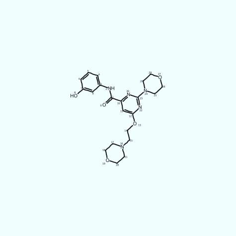 O=C(Nc1cccc(O)c1)c1cc(OCCN2CCOCC2)nc(N2CCOCC2)n1